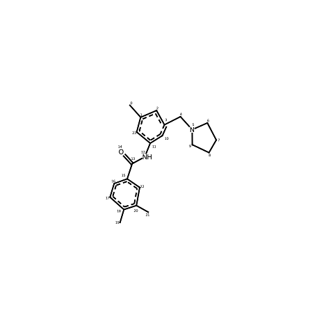 Cc1cc(CN2CCCC2)cc(NC(=O)c2ccc(C)c(C)c2)c1